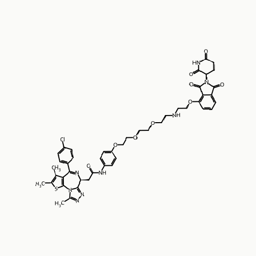 Cc1sc2c(c1C)C(c1ccc(Cl)cc1)=N[C@@H](CC(=O)Nc1ccc(OCCOCCOCCNCCOc3cccc4c3C(=O)N(C3CCC(=O)NC3=O)C4=O)cc1)c1nnc(C)n1-2